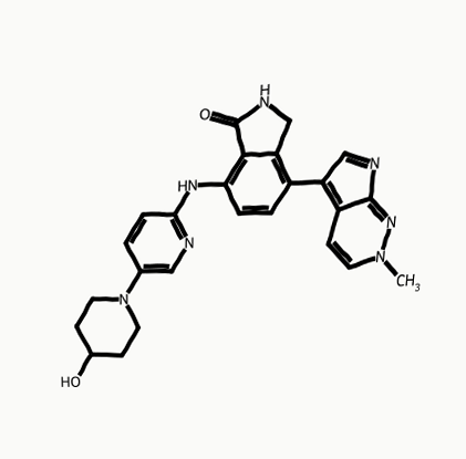 Cn1ccc2c(-c3ccc(Nc4ccc(N5CCC(O)CC5)cn4)c4c3CNC4=O)cnc-2n1